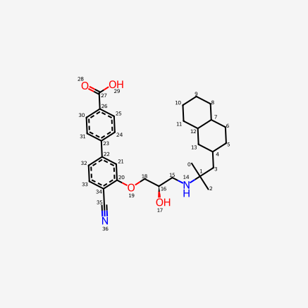 CC(C)(CC1CCC2CCCCC2C1)NC[C@@H](O)COc1cc(-c2ccc(C(=O)O)cc2)ccc1C#N